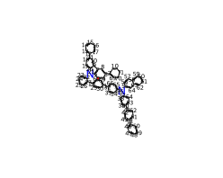 C1=CC(c2ccc3c(c2)c2cc(-c4ccccc4)ccc2n3-c2ccccc2-c2ccc(-c3ccc(N(c4ccc(-c5ccc(-c6ccccc6)cc5)cc4)c4ccc5ccccc5c4)cc3)cc2)=CCC1